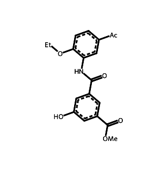 CCOc1ccc(C(C)=O)cc1NC(=O)c1cc(O)cc(C(=O)OC)c1